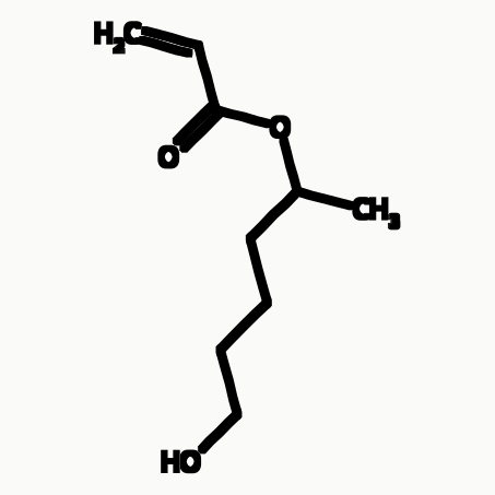 C=CC(=O)OC(C)CCCCO